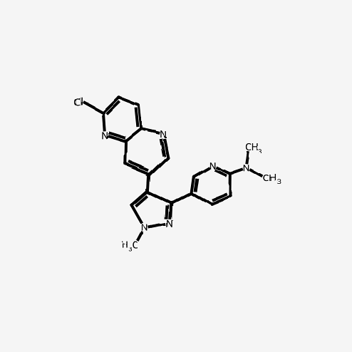 CN(C)c1ccc(-c2nn(C)cc2-c2cnc3ccc(Cl)nc3c2)cn1